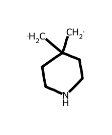 [CH2]C1([CH2])CCNCC1